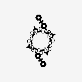 CC(C)C[C@H]1C(=O)O[C@H](Cc2ccc(C(C)(C)c3ccccc3)cc2)C(=O)N(C)[C@@H](CC(C)C)C(=O)O[C@H](C)C(=O)N(C)[C@@H](CC(C)C)C(=O)O[C@H](Cc2ccc(C(C)(C)c3ccccc3)cc2)C(=O)N(C)[C@@H](CC(C)C)C(=O)O[C@H](C)C(=O)N1C